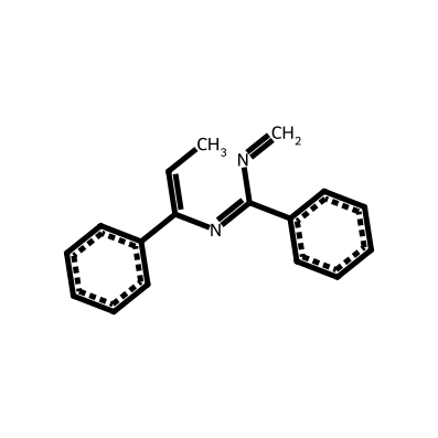 C=N/C(=N\C(=C/C)c1ccccc1)c1ccccc1